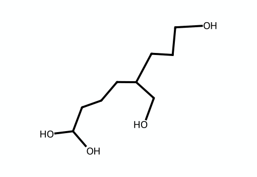 OCCCC(CO)CCCC(O)O